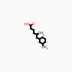 C=C(CCCC(=O)O)CC1CCCC(C)C1